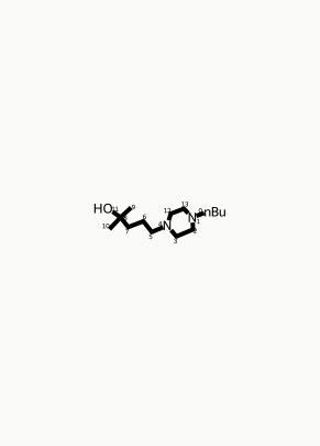 CCCCN1CCN(CCCC(C)(C)O)CC1